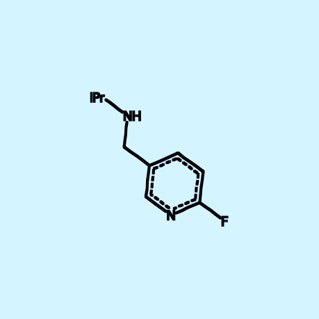 CC(C)NCc1ccc(F)nc1